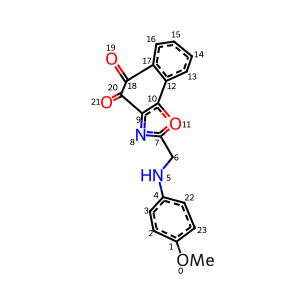 COc1ccc(NCc2nc3c(o2)-c2ccccc2C(=O)C3=O)cc1